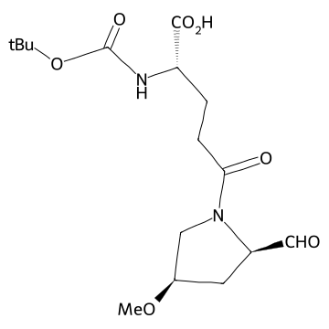 CO[C@@H]1C[C@H](C=O)N(C(=O)CC[C@H](NC(=O)OC(C)(C)C)C(=O)O)C1